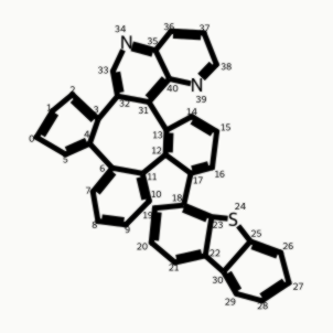 c1ccc2c(c1)-c1ccccc1-c1c(cccc1-c1cccc3c1sc1ccccc13)-c1c-2cnc2cccnc12